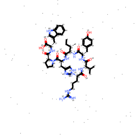 CC[C@H](C)[C@H](NC(=O)[C@H](Cc1ccc(O)cc1)NC(=O)[C@@H](NC(=O)[C@@H](N)CCCNC(=N)N)C(C)C)C(=O)N[C@@H](Cc1c[nH]cn1)C(=O)N1CCC[C@H]1C(=O)N[C@@H](Cc1c[nH]c2ccccc12)C(=O)O